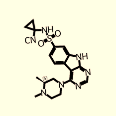 C[C@H]1CN(c2ncnc3[nH]c4cc(S(=O)(=O)NC5(C#N)CC5)ccc4c23)CCN1C